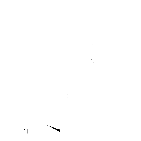 Cc1cc2c(cc1C1C3CCN(C3)[C@@H]1C)c1ccccc1n2-c1ccccc1